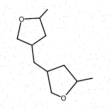 CC1CC(CC2COC(C)C2)CO1